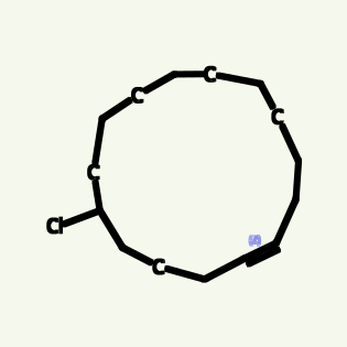 ClC1CCC/C=C\CCCCCCCCC1